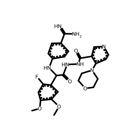 COc1cc(F)c(C(Nc2ccc(C(=N)N)cc2)C(=O)NNC(=O)c2cnccc2N2CCOCC2)cc1OC